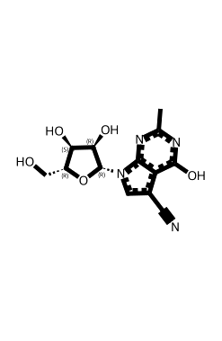 Cc1nc(O)c2c(C#N)cn([C@@H]3O[C@H](CO)[C@@H](O)[C@H]3O)c2n1